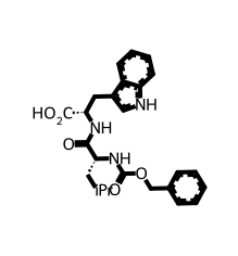 CC(C)C[C@@H](NC(=O)OCc1ccccc1)C(=O)N[C@@H](Cc1c[nH]c2ccccc12)C(=O)O